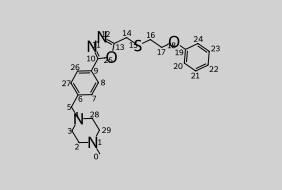 CN1CCN(Cc2ccc(-c3nnc(CSCCOc4ccccc4)o3)cc2)CC1